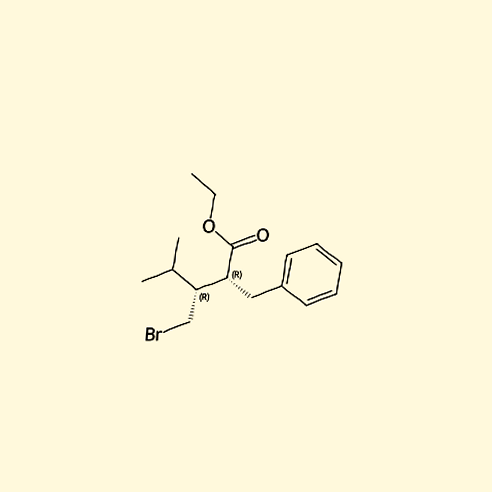 CCOC(=O)[C@H](Cc1ccccc1)[C@H](CBr)C(C)C